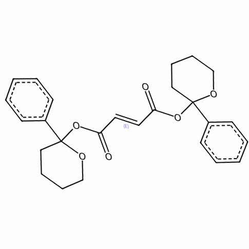 O=C(/C=C/C(=O)OC1(c2ccccc2)CCCCO1)OC1(c2ccccc2)CCCCO1